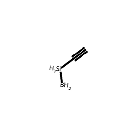 B[SiH2]C#C